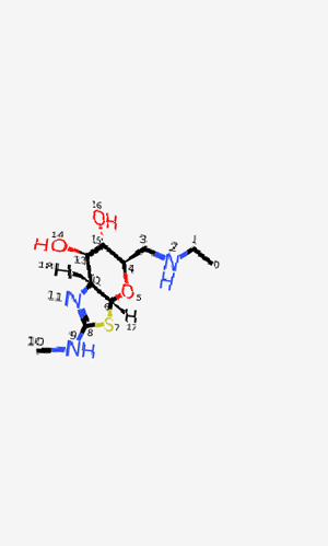 CCNC[C@H]1O[C@@H]2SC(NC)=N[C@@H]2[C@@H](O)[C@@H]1O